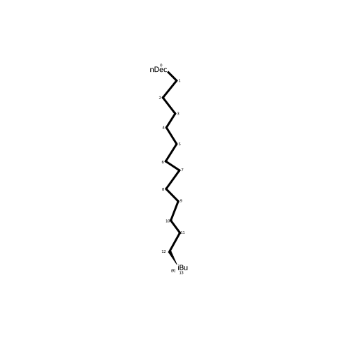 CCCCCCCCCCCCCCCCCCCCCC[C@H](C)CC